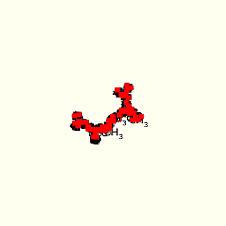 CC1(C)c2ccccc2-c2ccc(N(c3ccc(-c4ccc5c(c4)c4ccccc4n5-c4ccccc4)cc3)c3ccc(-c4cc5ccc(-c6ccc7c(c6)-c6ccc(N(c8ccc(-c9ccc%10c(c9)c9ccccc9n%10-c9ccccc9)cc8)c8cc9ccccc9s8)cc6C7(C)C)cc5o4)cc3)cc21